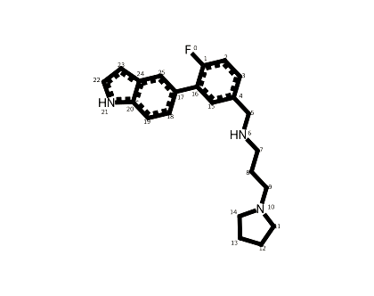 Fc1ccc(CNCCCN2CCCC2)cc1-c1ccc2[nH]ccc2c1